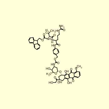 COc1cccc2c1C(=O)c1c(O)c3c(c(O)c1C2=O)C[C@@](O)(C(=O)CO)C[C@@H]3O[C@H]1C[C@H](NC(=O)OCc2ccc(NC(=O)C(CCCNC(N)=O)NC(=O)[C@@H](NC(=O)OCC3c4ccccc4-c4ccccc43)C(C)C)cc2)[C@H](O)[C@H](C)O1